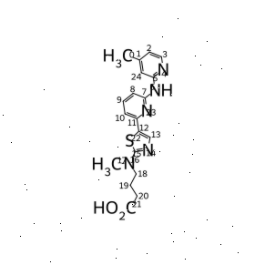 Cc1ccnc(Nc2cccc(-c3cnc(N(C)CCCC(=O)O)s3)n2)c1